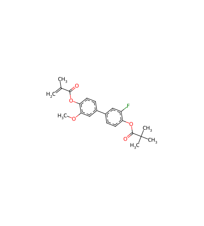 C=C(C)C(=O)Oc1ccc(-c2ccc(OC(=O)C(C)(C)C)c(F)c2)cc1OC